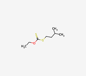 CCOC(=S)SCCC(C)C